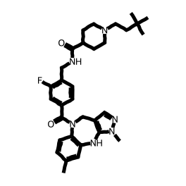 Cc1ccc2c(c1)Nc1c(cnn1C)CN2C(=O)c1ccc(CNC(=O)C2CCN(CCC(C)(C)C)CC2)c(F)c1